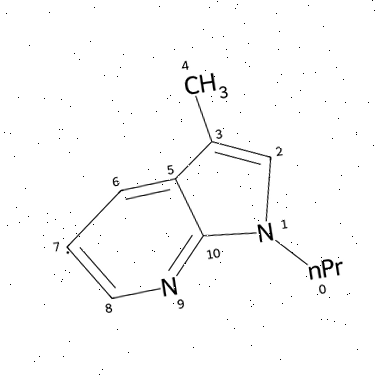 CCCn1cc(C)c2c[c]cnc21